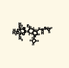 CC1(C)OB(c2cc3c(cc2F)c(CNSC2CC2)cn3C2CCC2)OC1(C)C